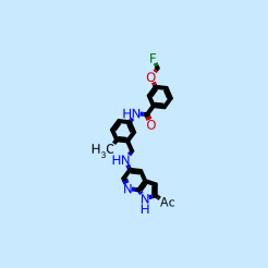 CC(=O)c1cc2cc(NCc3cc(NC(=O)c4cccc(OCF)c4)ccc3C)cnc2[nH]1